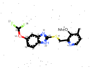 COc1c(C)ccnc1CSc1nc2cc(OC(F)F)ccc2[nH]1